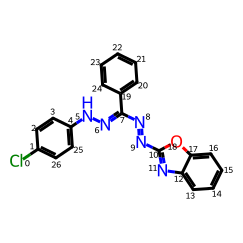 Clc1ccc(NN=C(N=Nc2nc3ccccc3o2)c2ccccc2)cc1